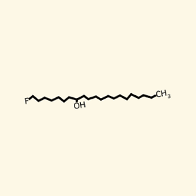 CCCCCCCCCCCCCC(O)CCCCCCCF